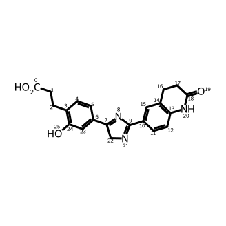 O=C(O)CCc1ccc(C2=NC(c3ccc4c(c3)CCC(=O)N4)=NC2)cc1O